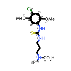 CCCN(CCCNC(=S)Nc1cc(OC)c(Cl)cc1OC)C(=O)O